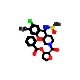 Cc1cc(O)c(C(N[S@@+]([O-])C(C)(C)C)C2CCN(C(=O)[C@@H]3OCC[C@@H]3OC(=O)c3ccccc3)CC2)cc1Cl